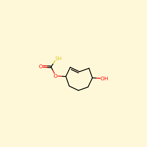 O=C(S)OC1/C=C/CC(O)CCC1